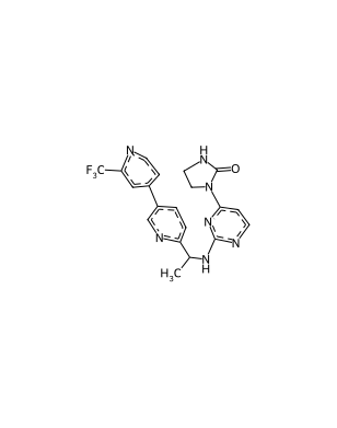 CC(Nc1nccc(N2CCNC2=O)n1)c1ccc(-c2ccnc(C(F)(F)F)c2)cn1